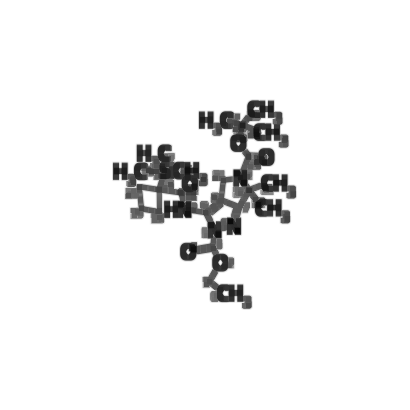 CCOC(=O)n1nc2c(c1NC(=O)C1([Si](C)(C)C)CCC1)CN(C(=O)OC(C)(C)C)C2(C)C